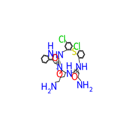 CN1C(=O)C(CCCCN)NC(=O)[C@H](CCCN)NCc2ccccc2Sc2c(Cl)cc(Cl)cc2CNC(=O)[C@@H]1Cc1c[nH]c2ccccc12